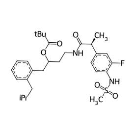 CC(C)Cc1ccccc1CC(CCNC(=O)[C@@H](C)c1ccc(NS(C)(=O)=O)c(F)c1)OC(=O)C(C)(C)C